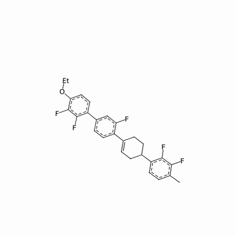 CCOc1ccc(-c2ccc(C3=CCC(c4ccc(C)c(F)c4F)CC3)c(F)c2)c(F)c1F